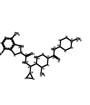 Cc1ccc(F)c2c1NC(C(=O)NC(C1CC1)C1NCC(C(=O)NC3CCN(C)CC3)CC1C)C2